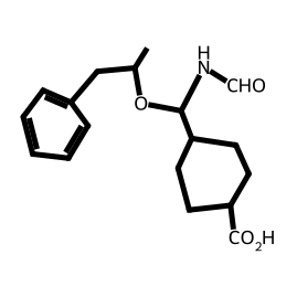 CC(Cc1ccccc1)OC(NC=O)C1CCC(C(=O)O)CC1